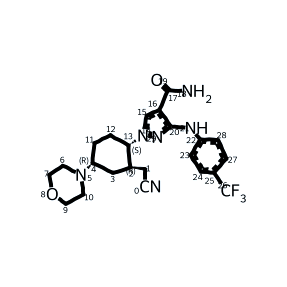 N#CC[C@H]1C[C@H](N2CCOCC2)CC[C@@H]1n1cc(C(N)=O)c(Nc2ccc(C(F)(F)F)cc2)n1